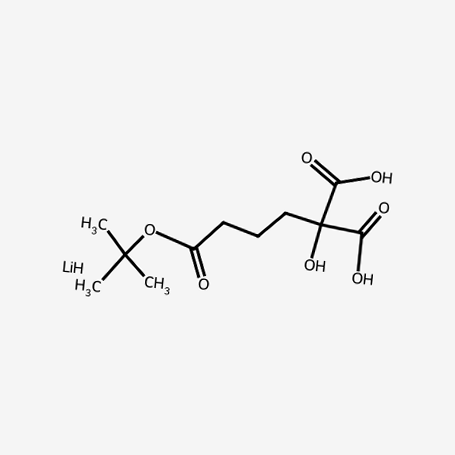 CC(C)(C)OC(=O)CCCC(O)(C(=O)O)C(=O)O.[LiH]